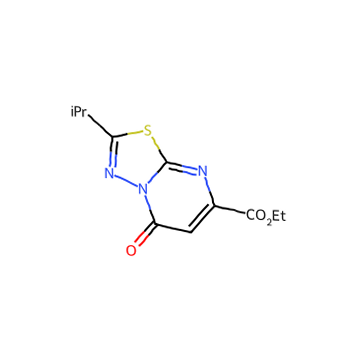 CCOC(=O)c1cc(=O)n2nc(C(C)C)sc2n1